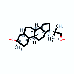 CC(C)(CO)[C@H]1CC[C@H]2[C@@H]3CC[C@@H]4C[C@](C)(O)CC[C@@H]4[C@H]3CC[C@]12C